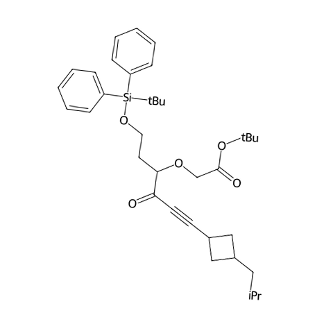 CC(C)CC1CC(C#CC(=O)C(CCO[Si](c2ccccc2)(c2ccccc2)C(C)(C)C)OCC(=O)OC(C)(C)C)C1